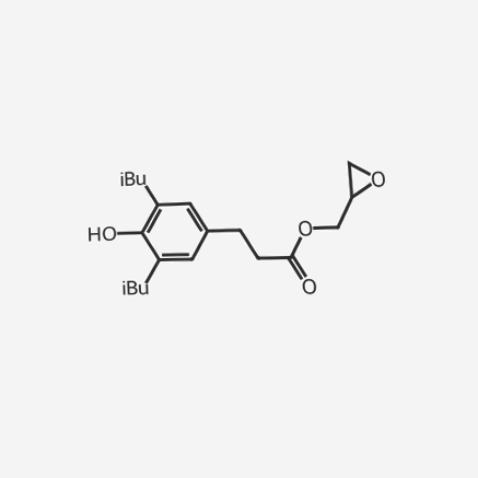 CCC(C)c1cc(CCC(=O)OCC2CO2)cc(C(C)CC)c1O